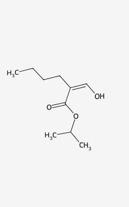 CCCCC(=CO)C(=O)OC(C)C